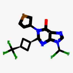 O=c1c2ncn(C(F)F)c2nc([C@H]2C[C@@H](C(F)(F)F)C2)n1-c1ccsc1